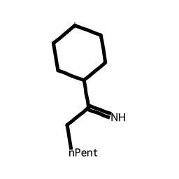 CCCCCCC(=N)C1CC[CH]CC1